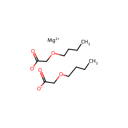 CCCCOCC(=O)[O-].CCCCOCC(=O)[O-].[Mg+2]